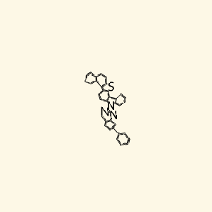 c1ccc(-c2ccc3cnc(-n4c5ccccc5c5c6sc7ccc8ccccc8c7c6ccc54)nc3c2)cc1